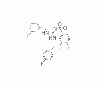 C[C@H](Cc1ccc(F)cc1)c1c(F)ccc2c1NC(NCc1cccc(F)c1)=NS2(=O)=O